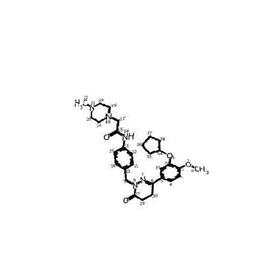 COc1ccc(C2=NN(Cc3ccc(NC(=O)CN4CCN(C)CC4)cc3)C(=O)CC2)cc1OC1CCCC1